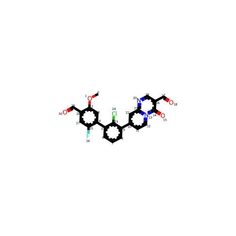 COc1cc(-c2cccc(-c3ccn4c(=O)c(C=O)cnc4c3)c2Cl)c(F)cc1C=O